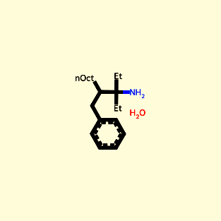 CCCCCCCCC(Cc1ccccc1)C(N)(CC)CC.O